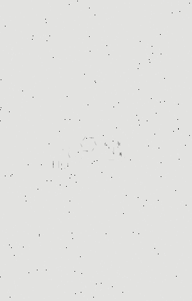 CC(C)CS(=O)(=O)N[C@@H]1CCc2ccc(OC(=O)O)cc21